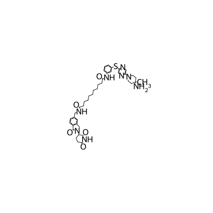 CC1(N)CCN(c2cnc(Sc3cccc(NC(=O)CCCCCCCCCC(=O)NCc4ccc5c(c4)CN(C4CCC(=O)NC4=O)C5=O)c3)cn2)CC1